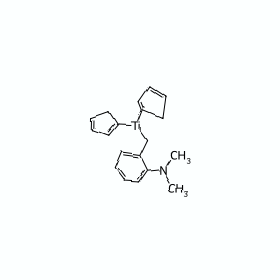 CN(C)c1ccccc1[CH2][Ti]([C]1=CC=CC1)[C]1=CC=CC1